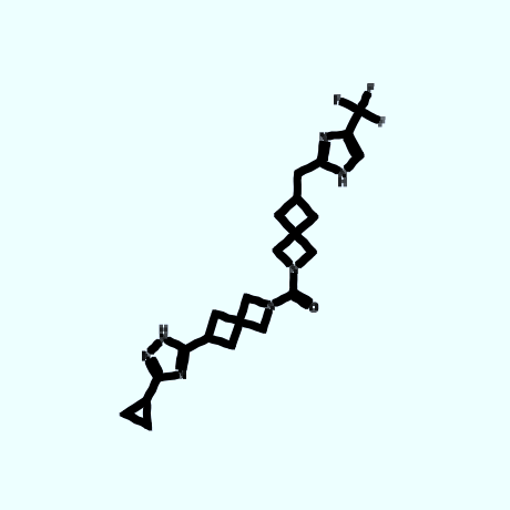 O=C(N1CC2(CC(Cc3nc(C(F)(F)F)c[nH]3)C2)C1)N1CC2(CC(c3nc(C4CC4)n[nH]3)C2)C1